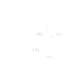 CCCCC1CC(NC(=O)OC(C)(C)C)CN1